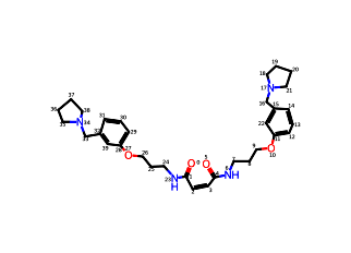 O=C(/C=C\C(=O)NCCCOc1cccc(CN2CCCC2)c1)NCCCOc1cccc(CN2CCCC2)c1